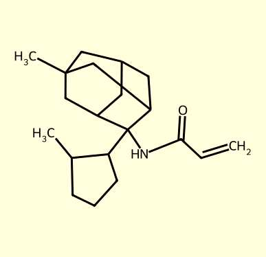 C=CC(=O)NC1(C2CCCC2C)C2CC3CC1CC(C)(C3)C2